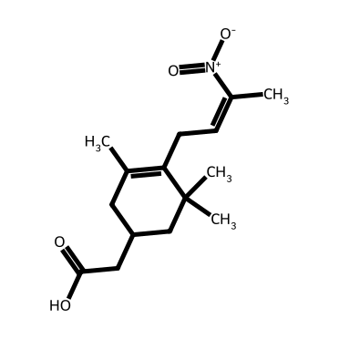 CC1=C(C/C=C(/C)[N+](=O)[O-])C(C)(C)CC(CC(=O)O)C1